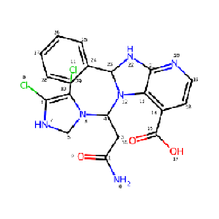 NC(=O)CC(N1CNC(Cl)=C1Cl)N1c2c(C(=O)O)ccnc2NC1c1ccccc1